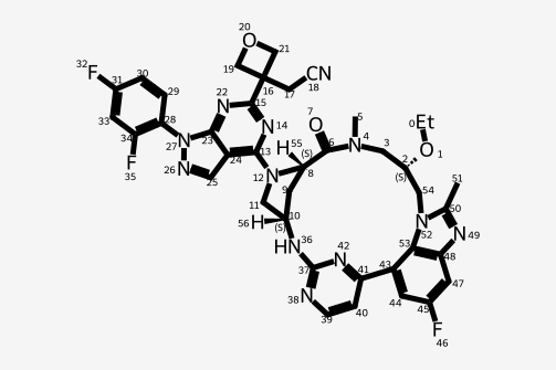 CCO[C@H]1CN(C)C(=O)[C@@H]2C[C@@H](CN2c2nc(C3(CC#N)COC3)nc3c2cnn3-c2ccc(F)cc2F)Nc2nccc(n2)-c2cc(F)cc3nc(C)n(c23)C1